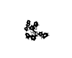 c1ccc(-c2cccc(C3N=C(c4ccc5c(c4)sc4ccccc45)N=C(c4cc(-n5c6ccccc6c6cc7ccccc7cc65)cc5c4oc4ccccc45)N3)c2)cc1